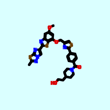 COc1cc(OCc2csc(-c3ccc(C(=O)N4CCC(CCO)CC4)cc3)n2)c2sc(-c3cn4nc(C)sc4n3)nc2c1